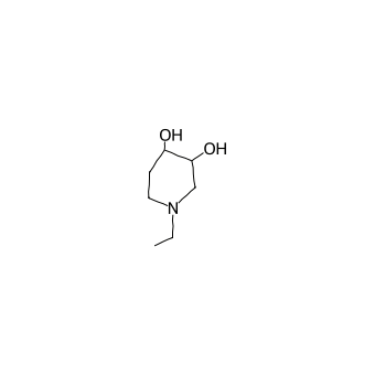 CCN1CCC(O)C(O)C1